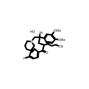 COc1ccc(C(CC(CCCC#N)C(=O)c2ccc(F)cc2)(CN2CCCCC2)C(C)C)cc1OC.Cl